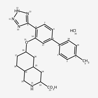 Cc1ccc(-c2ccc(-c3nn[nH]n3)c(OC3CCC4CNC(C(=O)O)CC4C3)c2)cc1.Cl